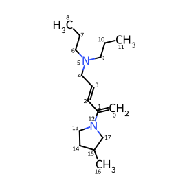 C=C(/C=C/CN(CCC)CCC)N1CCC(C)C1